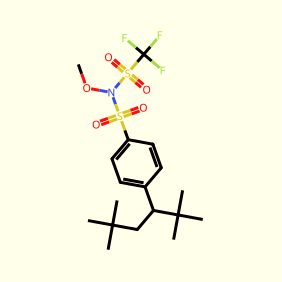 CON(S(=O)(=O)c1ccc(C(CC(C)(C)C)C(C)(C)C)cc1)S(=O)(=O)C(F)(F)F